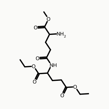 CCOC(=O)CCC(NC(=O)CCC(N)C(=O)OC)C(=O)OCC